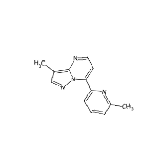 Cc1cccc(-c2ccnc3c(C)cnn23)n1